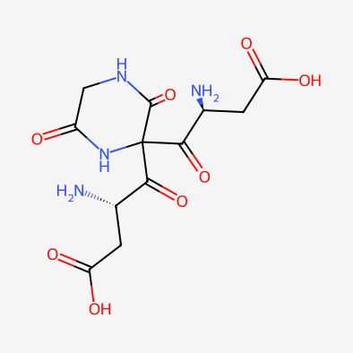 N[C@@H](CC(=O)O)C(=O)C1(C(=O)[C@@H](N)CC(=O)O)NC(=O)CNC1=O